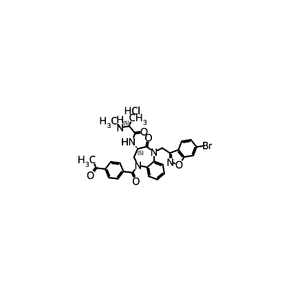 CN[C@@H](C)C(=O)N[C@H]1CN(C(=O)c2ccc(C(C)=O)cc2)c2ccccc2N(Cc2noc3cc(Br)ccc23)C1=O.Cl